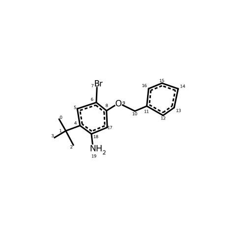 CC(C)(C)c1cc(Br)c(OCc2ccccc2)cc1N